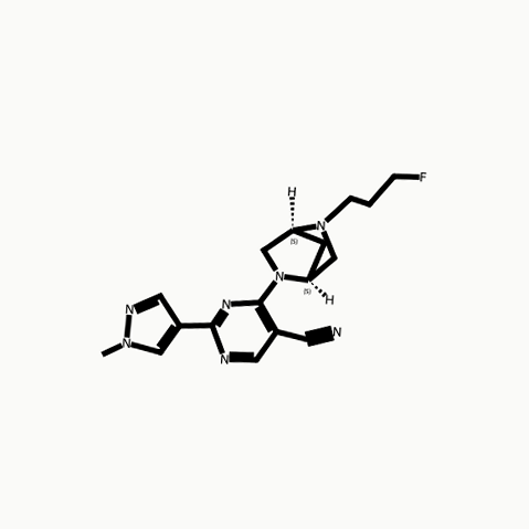 Cn1cc(-c2ncc(C#N)c(N3C[C@@H]4C[C@H]3CN4CCCF)n2)cn1